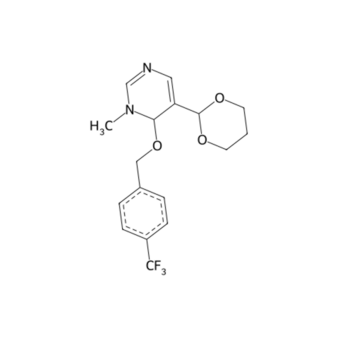 CN1C=NC=C(C2OCCCO2)C1OCc1ccc(C(F)(F)F)cc1